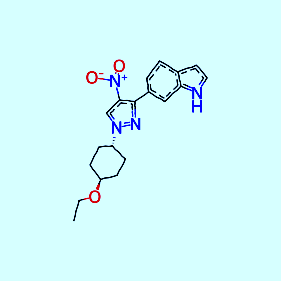 CCO[C@H]1CC[C@H](n2cc([N+](=O)[O-])c(-c3ccc4cc[nH]c4c3)n2)CC1